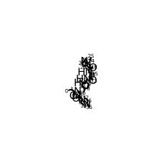 CCC(=O)N[C@H](Cc1ccc(NC(=O)[C@H](C)NC(=O)c2ccnn2CC)c(C)c1)C(=O)N1CCN(C)CC1